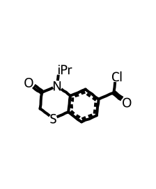 CC(C)N1C(=O)CSc2ccc(C(=O)Cl)cc21